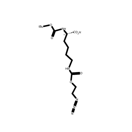 CC(C)(C)OC(=O)N[C@@H](CCCCNC(=O)OCCN=[N+]=[N-])C(=O)O